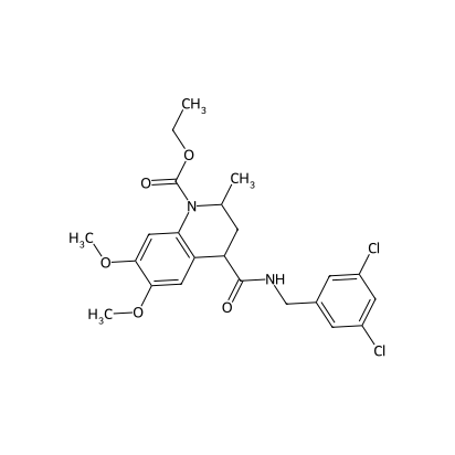 CCOC(=O)N1c2cc(OC)c(OC)cc2C(C(=O)NCc2cc(Cl)cc(Cl)c2)CC1C